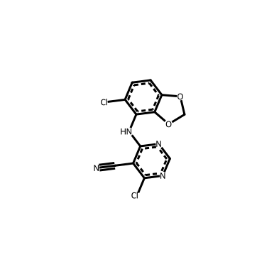 N#Cc1c(Cl)ncnc1Nc1c(Cl)ccc2c1OCO2